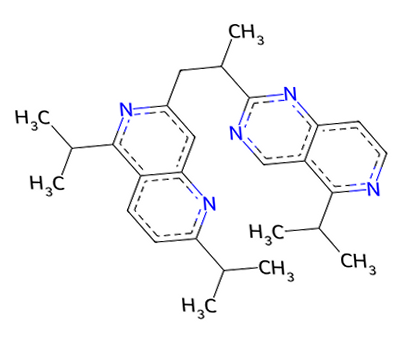 CC(C)c1ccc2c(C(C)C)nc(CC(C)c3ncc4c(C(C)C)nccc4n3)cc2n1